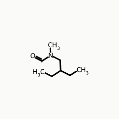 CCC(CC)CN(C)[C]=O